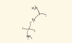 CC(C)(C)N.CCC(C)N